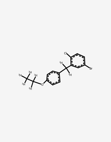 [2H]C([2H])(c1ccc(OC([2H])([2H])C([2H])([2H])[2H])cc1)c1cc(Br)ccc1Cl